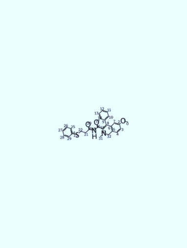 COc1ccc2c(c1)C(c1ccccc1)=C(C(=O)NC(=O)CCSc1ccccc1)N(C)C2